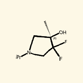 CC(C)N1CC(F)(F)[C@](C)(O)C1